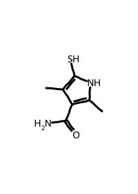 Cc1[nH]c(S)c(C)c1C(N)=O